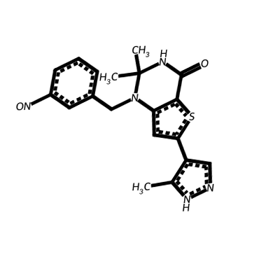 Cc1[nH]ncc1-c1cc2c(s1)C(=O)NC(C)(C)N2Cc1cccc(N=O)c1